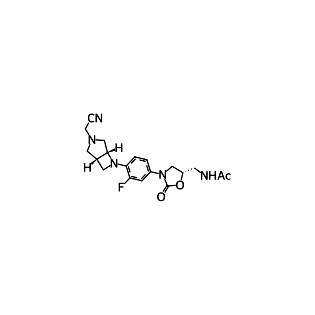 CC(=O)NC[C@H]1CN(c2ccc(N3C[C@@H]4CN(CC#N)C[C@@H]43)c(F)c2)C(=O)O1